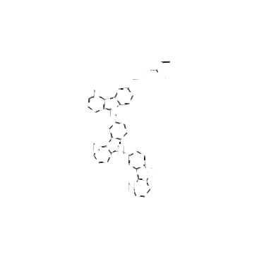 C=CC(=O)OCCc1ccc2c(c1)c1ncccc1n2-c1ccc2c(c1)c1ncccc1n2-c1ccc2oc3cccnc3c2c1